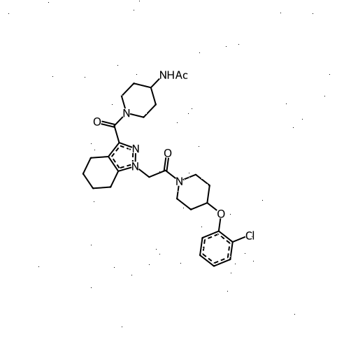 CC(=O)NC1CCN(C(=O)c2nn(CC(=O)N3CCC(Oc4ccccc4Cl)CC3)c3c2CCCC3)CC1